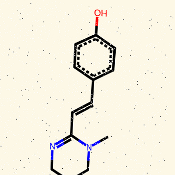 CN1CCCN=C1/C=C/c1ccc(O)cc1